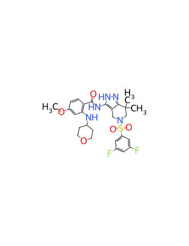 COc1ccc(C(=O)Nc2[nH]nc3c2CN(S(=O)(=O)c2cc(F)cc(F)c2)CC3(C)C)c(NC2CCOCC2)c1